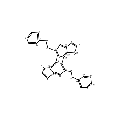 c1ccc(CCc2cc3ccsc3c3c2-c2c-3c(CCc3ccccc3)cc3ccsc23)cc1